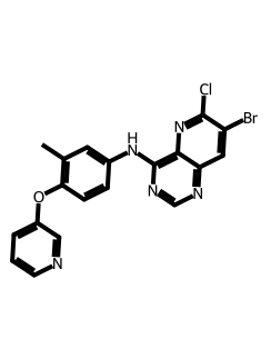 Cc1cc(Nc2ncnc3cc(Br)c(Cl)nc23)ccc1Oc1cccnc1